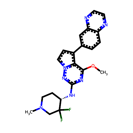 COc1nc(N[C@H]2CCN(C)CC2(F)F)nn2ccc(-c3ccc4nccnc4c3)c12